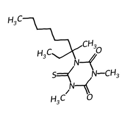 CCCCCCC(C)(CC)n1c(=O)n(C)c(=O)n(C)c1=S